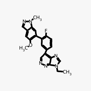 CCn1cnc2c(-c3ccc(F)c(-c4cc5c(cnn5C)cc4OC)c3)cnnc21